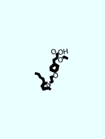 CCCCc1ccc(C)n1CCOc1ccc(CC(OCC)C(=O)O)cc1